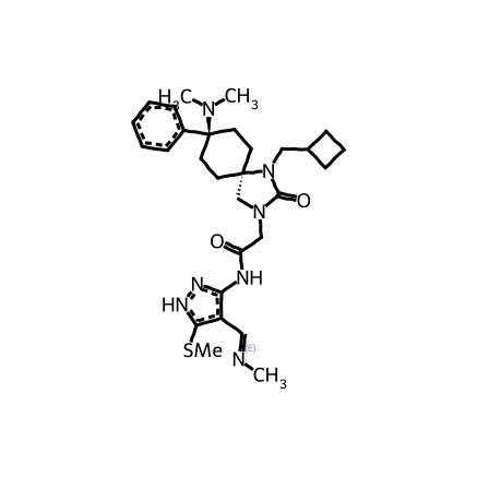 C/N=C/c1c(NC(=O)CN2C[C@]3(CC[C@](c4ccccc4)(N(C)C)CC3)N(CC3CCC3)C2=O)n[nH]c1SC